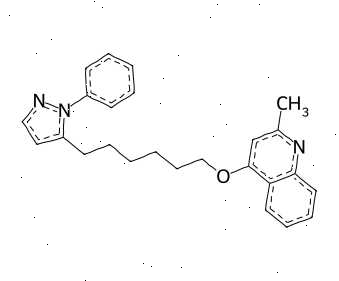 Cc1cc(OCCCCCCc2ccnn2-c2ccccc2)c2ccccc2n1